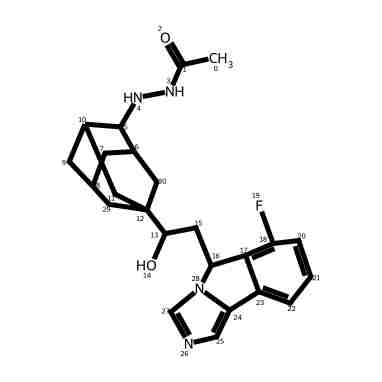 CC(=O)NNC1C2CC3CC1CC(C(O)CC1c4c(F)cccc4-c4cncn41)(C3)C2